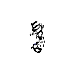 C=C(/C=C(\O)CNc1ncc(Br)c(Nc2cc(C(C)C)n[nH]2)n1)c1ccccc1